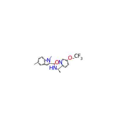 Cc1ccc2c(c1)cc(C(=O)N[C@H](C)c1ccc(OCC(F)(F)F)cn1)n2C